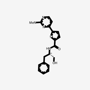 CNc1nccc(-c2ccc(C(=O)N[C@H](CO)Cc3ccccc3)s2)n1